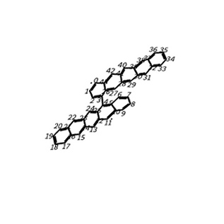 [c]1ccc(-c2c3ccccc3[c]c3cc4cc5ccccc5cc4cc23)c2cc3cc4cc5ccccc5cc4cc3cc12